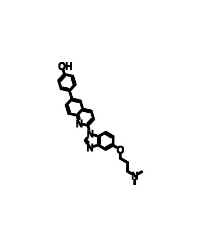 CN(C)CCCOc1ccc2c(c1)ncn2-c1ccc2cc(-c3ccc(O)cc3)ccc2n1